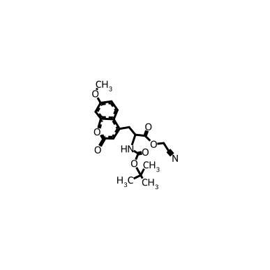 COc1ccc2c(CC(NC(=O)OC(C)(C)C)C(=O)OCC#N)cc(=O)oc2c1